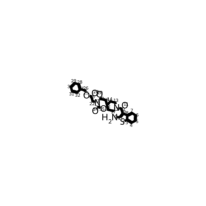 Nc1sc2ccccc2c1C(=O)N1CCC2(CC1)CC(=O)N(CC(=O)OCc1ccccc1)C(=O)O2